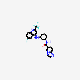 O=C(N[C@@H]1CCC[C@H](Nc2cc(C(F)(F)F)nc3ccc(F)cc23)C1)c1ccc2nccn2c1